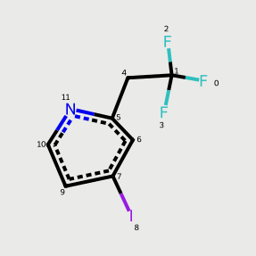 FC(F)(F)Cc1cc(I)ccn1